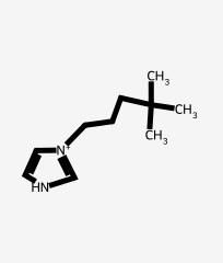 CC(C)(C)CCC[n+]1cc[nH]c1